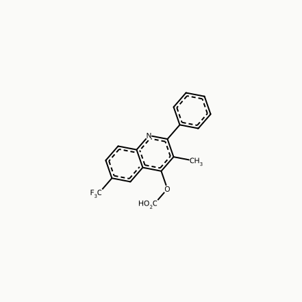 Cc1c(-c2ccccc2)nc2ccc(C(F)(F)F)cc2c1OC(=O)O